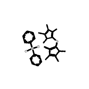 CC1=C(C)C(C)[C]([Ti][C]2=C(C)C(C)=C(C)C2C)=C1C.Cl[Si](Cl)(c1ccccc1)c1ccccc1